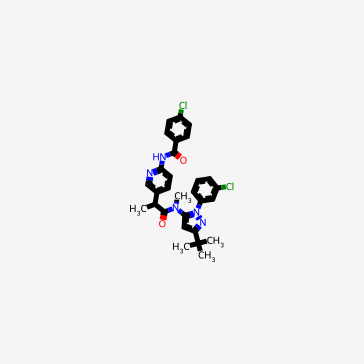 CC(C(=O)N(C)c1cc(C(C)(C)C)nn1-c1cccc(Cl)c1)c1ccc(NC(=O)c2ccc(Cl)cc2)nc1